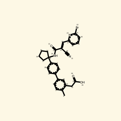 Cc1ccc(-c2ccc(C3(NC(=O)C(C#N)=Cc4cccc(Br)n4)CCCC3)cc2)cc1CC(=O)O